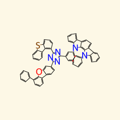 c1ccc(-c2cccc3c2oc2cc(-c4nc(-c5cccc(-n6c7ccccc7c7ccc8c9ccccc9n(-c9ccccc9)c8c76)c5)nc(-c5cccc6sc7ccccc7c56)n4)ccc23)cc1